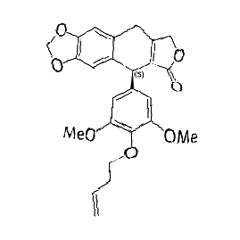 C=CCCOc1c(OC)cc([C@@H]2C3=C(COC3=O)Cc3cc4c(cc32)OCO4)cc1OC